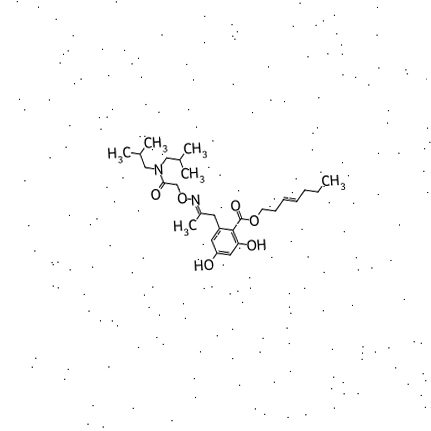 CCC/C=C/CCOC(=O)c1c(O)cc(O)cc1C/C(C)=N/OCC(=O)N(CC(C)C)CC(C)C